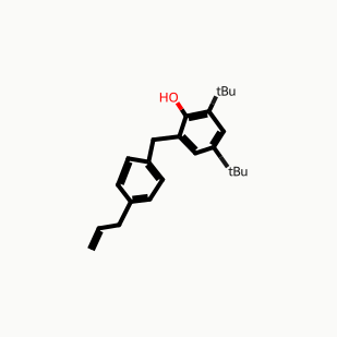 C=CCc1ccc(Cc2cc(C(C)(C)C)cc(C(C)(C)C)c2O)cc1